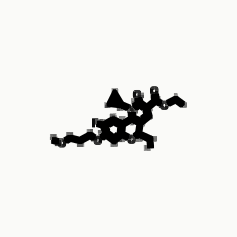 CCOC(=O)c1cc2c(n(C3CC3)c1=O)-c1cc(F)c(OCCCOC)cc1OC2CC